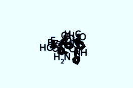 CC(=O)c1c[nH]c2c(C(=O)NCc3ccccc3)cccc12.NCc1cccc(C(=O)N(CC(=O)O)c2ccccc2)c1.O=C(O)C(F)(F)F